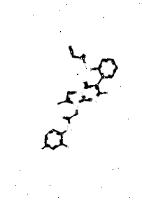 C=CC(=O)Nc1ccccc1-c1c(CC)nc2n(CC(=O)Nc3ccc(C(F)(F)F)cc3Cl)c(C)cn2c1=O